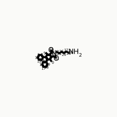 Cc1c2c(c(C)c(-c3ccccc3)c1-c1ccccc1)C(=O)N(CCCCCCN)C2=O